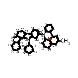 Cc1cccc(-c2ccccc2N(c2ccccc2)c2ccc3c4ccc5sc6ccccc6c5c4n(-c4ccccc4)c3c2)c1